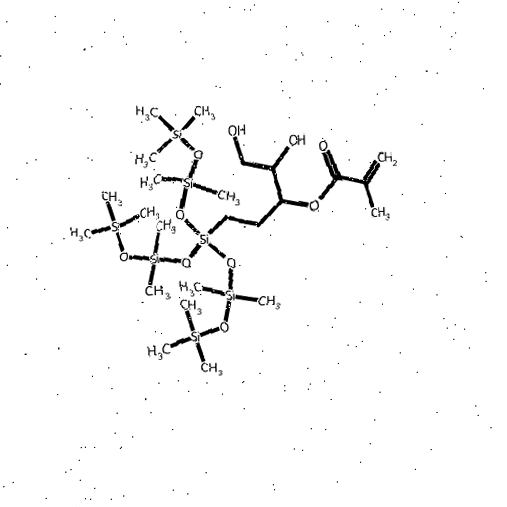 C=C(C)C(=O)OC(CC[Si](O[Si](C)(C)O[Si](C)(C)C)(O[Si](C)(C)O[Si](C)(C)C)O[Si](C)(C)O[Si](C)(C)C)C(O)CO